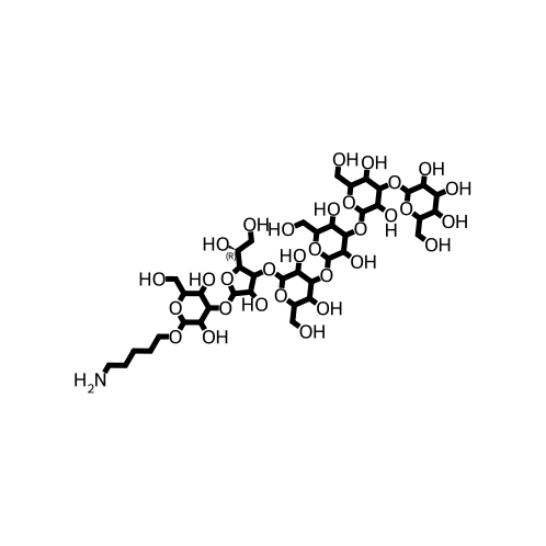 NCCCCCOC1OC(CO)C(O)C(OC2OC([C@H](O)CO)C(OC3OC(CO)C(O)C(OC4OC(CO)C(O)C(OC5OC(CO)C(O)C(OC6OC(CO)C(O)C(O)C6O)C5O)C4O)C3O)C2O)C1O